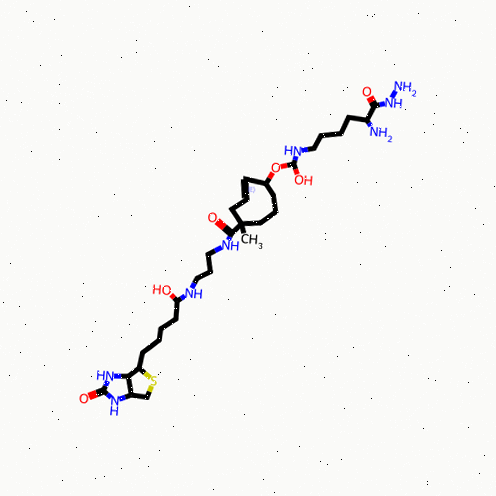 CC1(C(=O)NCCCNC(O)CCCCC2SCC3NC(=O)NC32)C/C=C/C(OC(O)NCCCCC(N)C(=O)NN)CCC1